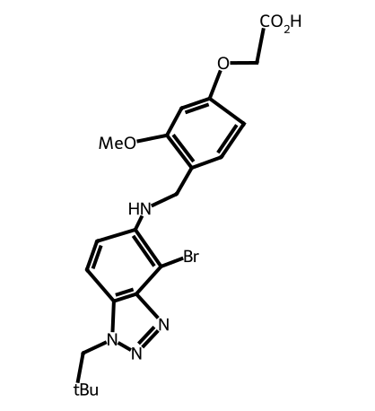 COc1cc(OCC(=O)O)ccc1CNc1ccc2c(nnn2CC(C)(C)C)c1Br